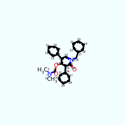 CN(C)C(=O)Oc1c(-c2ccccc2)cn(Cc2ccccc2)c(=O)c1-c1ccccc1